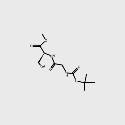 COC(=O)[C@H](CO)NC(=O)CNC(=O)OC(C)(C)C